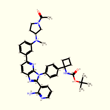 CC(=O)N1CC[C@H](N(C)c2cccc(-c3ccc4nc(-c5cccnc5N)n(-c5ccc(C6(NC(=O)OC(C)(C)C)CCC6)cc5)c4n3)c2)C1